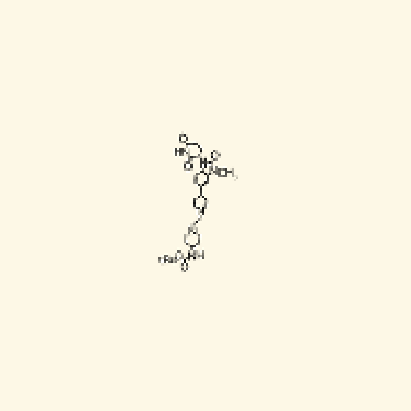 Cn1c(=O)n(C2CCC(=O)NC2=O)c2ccc(C3CCN(CCN4CCC(NC(=O)OC(C)(C)C)CC4)CC3)cc21